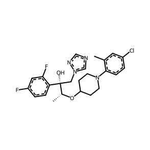 Cc1cc(Cl)ccc1N1CCC(O[C@H](C)[C@](O)(Cn2cncn2)c2ccc(F)cc2F)CC1